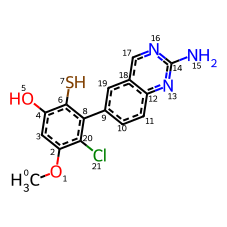 COc1cc(O)c(S)c(-c2ccc3nc(N)ncc3c2)c1Cl